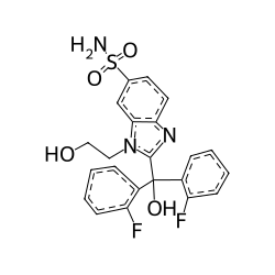 NS(=O)(=O)c1ccc2nc(C(O)(c3ccccc3F)c3ccccc3F)n(CCO)c2c1